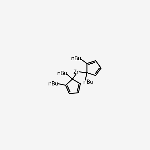 CCCCC1=CC=C[C]1(CCCC)[Zr][C]1(CCCC)C=CC=C1CCCC